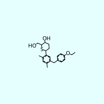 CCOc1ccc(Cc2cc(C3CCC(O)C(CO)S3)c(C)cc2C)cc1